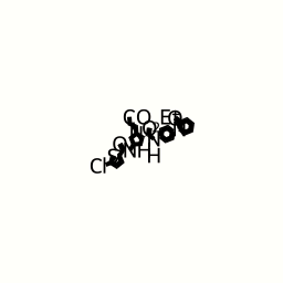 CCOC(=O)CCN1CC(NC(=O)c2ccc(Cl)s2)C[C@H]1C(=O)Nc1ccc(-n2ccccc2=O)cc1